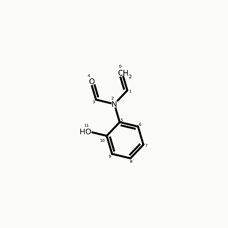 C=CN(C=O)c1ccccc1O